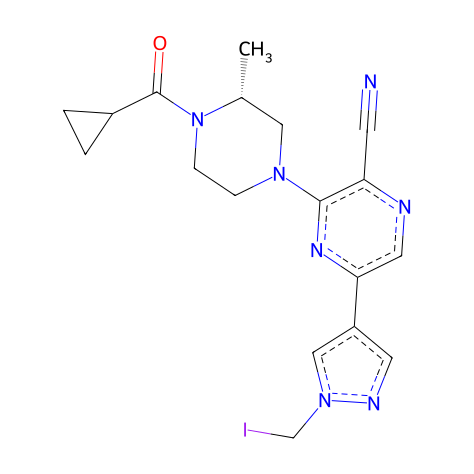 C[C@@H]1CN(c2nc(-c3cnn(CI)c3)cnc2C#N)CCN1C(=O)C1CC1